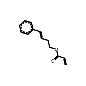 C=CC(=O)OCCC=Cc1ccccc1